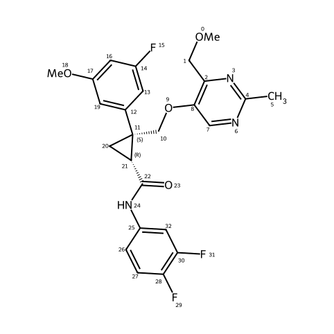 COCc1nc(C)ncc1OC[C@@]1(c2cc(F)cc(OC)c2)C[C@H]1C(=O)Nc1ccc(F)c(F)c1